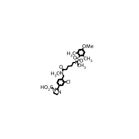 COc1cc(C)c(S(=O)(=O)N(C)CCCCC(=O)N(C)Cc2ccc(C3=NCCN3C(=O)O)cc2Cl)c(C)c1